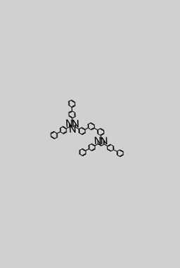 c1ccc(-c2ccc(-c3cc(-c4ccc(-c5ccccc5)cc4)nc(-c4cccc(-c5cccc(-c6cccc(-c7nc(-c8ccc(-c9ccccc9)cc8)nc(-c8ccc(-c9ccccc9)cc8)n7)c6)c5)c4)n3)cc2)cc1